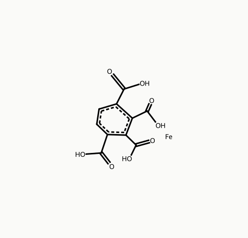 O=C(O)c1ccc(C(=O)O)c(C(=O)O)c1C(=O)O.[Fe]